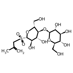 C=C(C)CS(=O)(=O)[C@@H]1O[C@H](CO)[C@@H](O[C@@H]2O[C@H](CO)[C@@H](O)[C@H](O)[C@H]2O)[C@H](O)[C@H]1O